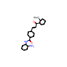 COc1ccccc1C(=O)/C=C/c1ccc(C(=O)Nc2ccccc2N)cc1